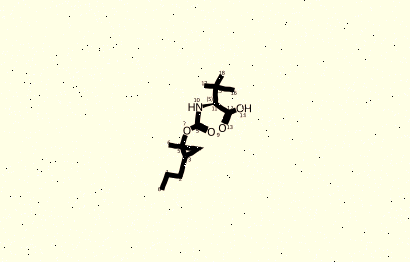 CCCC1CC1(C)OC(=O)N[C@H](C(=O)O)C(C)(C)C